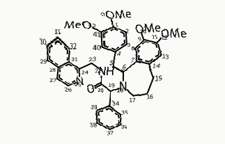 COc1ccc(CC2c3cc(OC)c(OC)cc3CCCN2C(C(=O)NCc2nccc3ccccc23)c2ccccc2)cc1OC